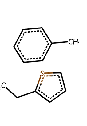 CCc1cccs1.[CH]c1ccccc1